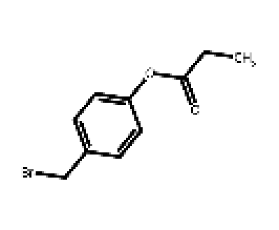 CCC(=O)Oc1ccc(CBr)cc1